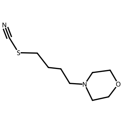 N#CSCCCCN1CCOCC1